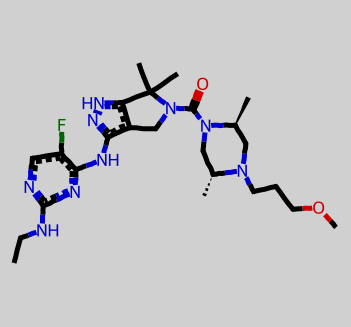 CCNc1ncc(F)c(Nc2n[nH]c3c2CN(C(=O)N2C[C@@H](C)N(CCCOC)C[C@@H]2C)C3(C)C)n1